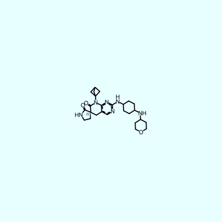 O=C1NCC[C@@]12Cc1cnc(NC3CCC(NC4CCOCC4)CC3)nc1N(C13CC(C1)C3)C2=O